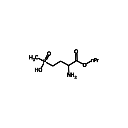 CCCOC(=O)C(N)CCP(C)(=O)O